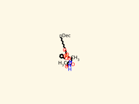 CCCCCCCCCCCCCCCCCCOCCOP(=O)(COC(C)Cn1cc(C)c(=O)[nH]c1=O)OCc1ccccc1